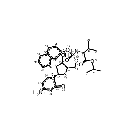 CC(C)OC(=O)[C@@H](NP(=O)(OC[C@H]1S[C@@H](n2ccc(N)nc2=O)CC1O)Oc1ccc2ccccc2c1)C(C)C